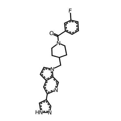 O=C(c1cccc(F)c1)N1CCC(Cn2ccc3cc(-c4cn[nH]c4)ncc32)CC1